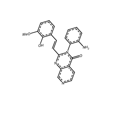 COc1cccc(/C=C/c2nc3cnccc3c(=O)n2-c2ccccc2N)c1O